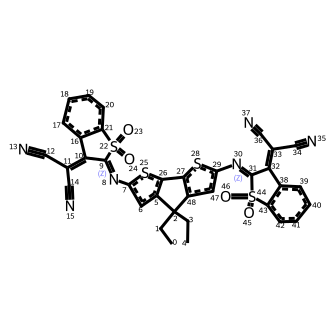 CCC1(CC)c2cc(/N=C3/C(=C(C#N)C#N)c4ccccc4S3(=O)=O)sc2-c2sc(/N=C3/C(=C(C#N)C#N)c4ccccc4S3(=O)=O)cc21